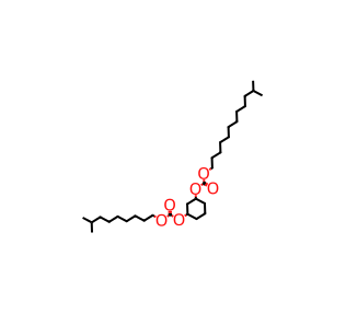 CC(C)CCCCCCCCCCOC(=O)OC1CCCC(OC(=O)OCCCCCCCC(C)C)C1